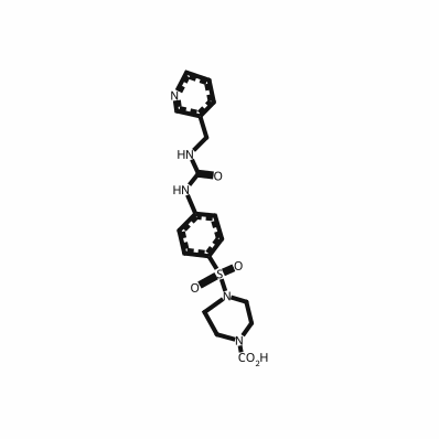 O=C(NCc1cccnc1)Nc1ccc(S(=O)(=O)N2CCN(C(=O)O)CC2)cc1